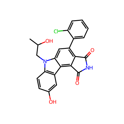 CC(O)Cn1c2ccc(O)cc2c2c3c(c(-c4ccccc4Cl)cc21)C(=O)NC3=O